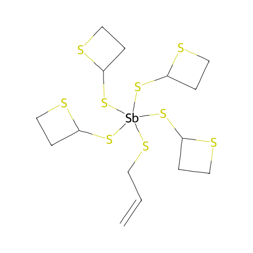 C=CC[S][Sb]([S]C1CCS1)([S]C1CCS1)([S]C1CCS1)[S]C1CCS1